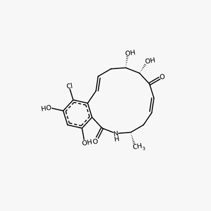 C[C@H]1C/C=C\C(=O)[C@@H](O)[C@@H](O)C/C=C/c2c(Cl)c(O)cc(O)c2C(=O)N1